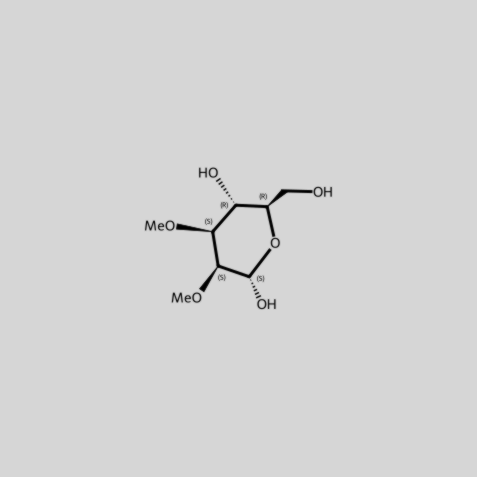 CO[C@H]1[C@H](O)[C@@H](CO)O[C@H](O)[C@H]1OC